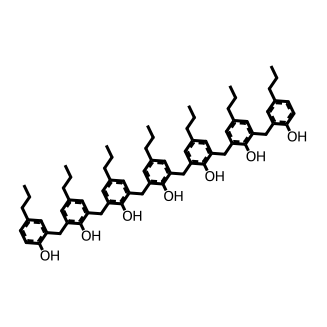 CCCc1ccc(O)c(Cc2cc(CCC)cc(Cc3cc(CCC)cc(Cc4cc(CCC)cc(Cc5cc(CCC)cc(Cc6cc(CCC)cc(Cc7cc(CCC)ccc7O)c6O)c5O)c4O)c3O)c2O)c1